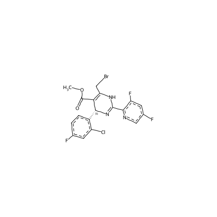 COC(=O)C1=C(CBr)NC(c2ncc(F)cc2F)=N[C@@H]1c1ccc(F)cc1Cl